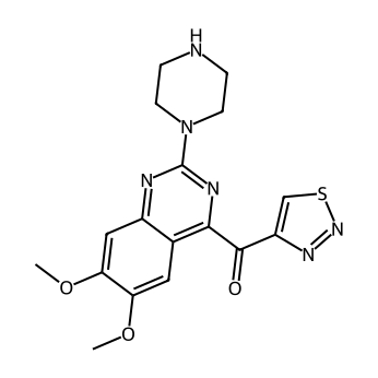 COc1cc2nc(N3CCNCC3)nc(C(=O)c3csnn3)c2cc1OC